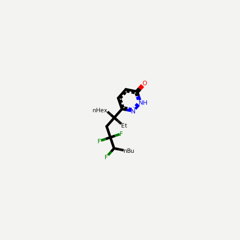 CCCCCCC(CC)(CC(F)(F)C(F)CCCC)c1ccc(=O)[nH]n1